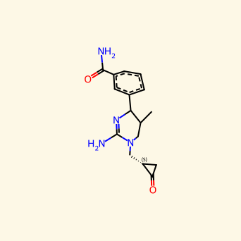 CC1CN(C[C@@H]2CC2=O)C(N)=NC1c1cccc(C(N)=O)c1